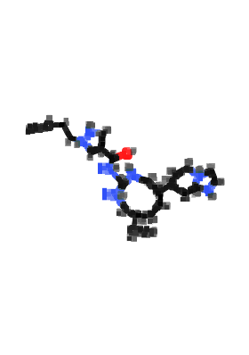 COCCn1cc(C(=O)Nc2ncc(-c3ccn4ccnc4c3)ccc(OC)c[nH]2)cn1